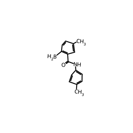 Bc1ccc(C)cc1C(=O)Nc1ccc(C)cc1